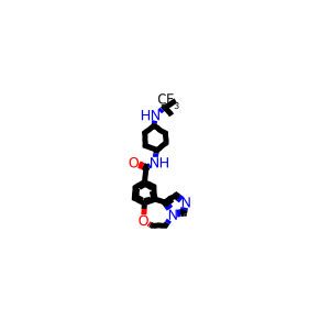 CC(C)(NC1CCC(NC(=O)c2ccc3c(c2)-c2cncn2CCO3)CC1)C(F)(F)F